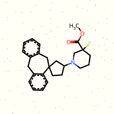 COC(=O)C1(F)CCCN(C2CCC3(Cc4ccccc4Cc4ccccc43)C2)C1